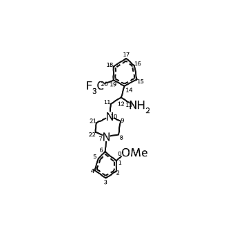 COc1ccccc1N1CCN(CC(N)c2ccccc2C(F)(F)F)CC1